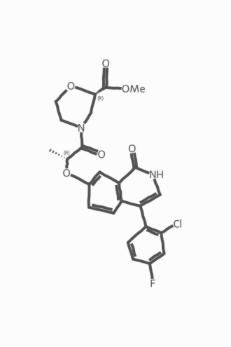 COC(=O)[C@H]1CN(C(=O)[C@@H](C)Oc2ccc3c(-c4ccc(F)cc4Cl)c[nH]c(=O)c3c2)CCO1